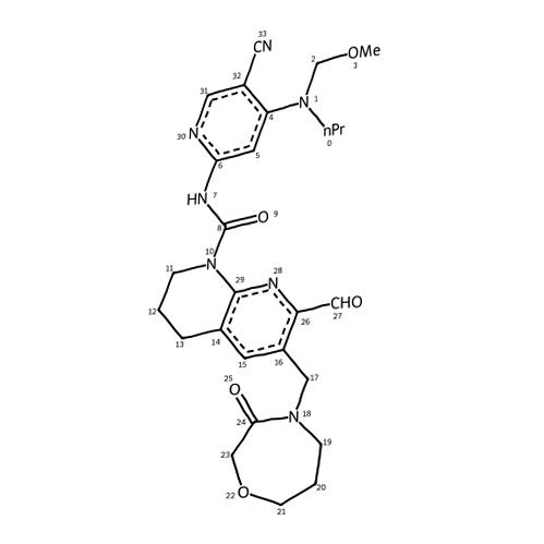 CCCN(COC)c1cc(NC(=O)N2CCCc3cc(CN4CCCOCC4=O)c(C=O)nc32)ncc1C#N